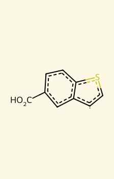 O=C(O)c1ccc2sc[c]c2c1